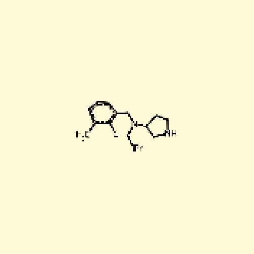 CC(C)CN(Cc1cccc(C(F)(F)F)c1Cl)[C@H]1CCNC1